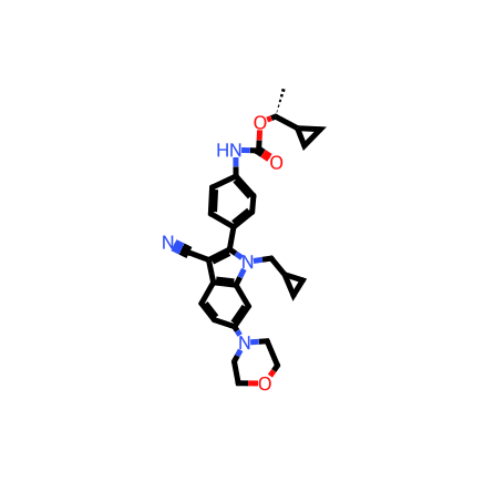 C[C@@H](OC(=O)Nc1ccc(-c2c(C#N)c3ccc(N4CCOCC4)cc3n2CC2CC2)cc1)C1CC1